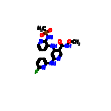 CONC(=O)c1cnc(Nc2cccc(F)n2)cc1Nc1cccnc1NS(C)(=O)=O